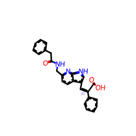 O=C(Cc1ccccc1)NCc1ccc2c(/C=C(\C(=O)O)c3ccccc3)c[nH]c2n1